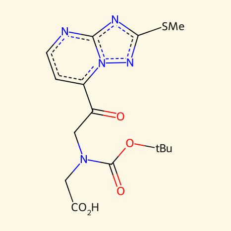 CSc1nc2nccc(C(=O)CN(CC(=O)O)C(=O)OC(C)(C)C)n2n1